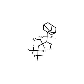 CCC(C)(CC(O)(C(F)(F)F)C(F)(F)F)C(OO)C(C)(C)C12CC3CC(CC(C3)C1)C2